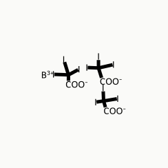 O=C([O-])C(I)(I)I.O=C([O-])C(I)(I)I.O=C([O-])C(I)(I)I.[B+3]